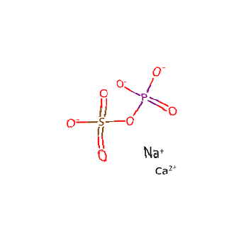 O=P([O-])([O-])OS(=O)(=O)[O-].[Ca+2].[Na+]